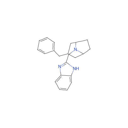 c1ccc(CC2CC3CCC(C2)N3Cc2nc3ccccc3[nH]2)cc1